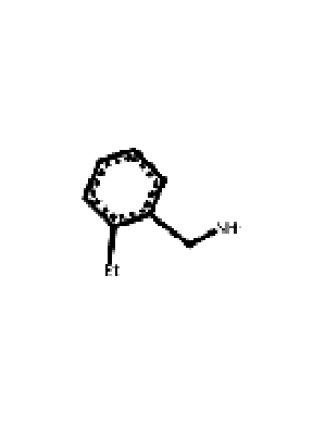 CCc1ccccc1C[NH]